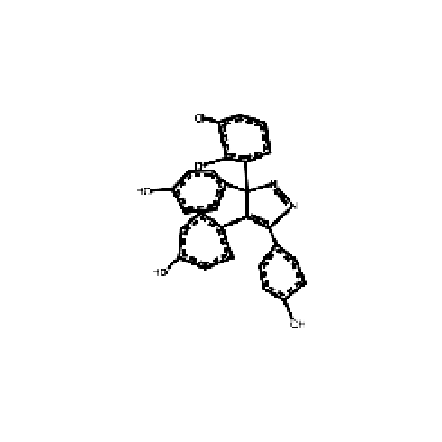 Oc1ccc(C2=C(c3ccc(O)cc3)C(c3ccc(O)cc3)(c3cccc(Cl)c3Cl)N=N2)cc1